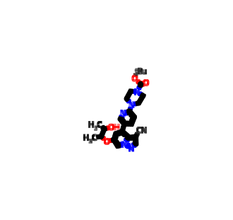 CC(O)C(C)Oc1cc(-c2ccc(N3CCN(C(=O)OC(C)(C)C)CC3)nc2)c2c(C#N)cnn2c1